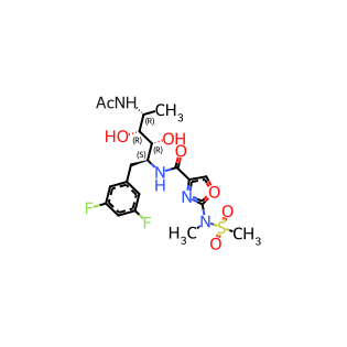 CC(=O)N[C@H](C)[C@@H](O)[C@H](O)[C@H](Cc1cc(F)cc(F)c1)NC(=O)c1coc(N(C)S(C)(=O)=O)n1